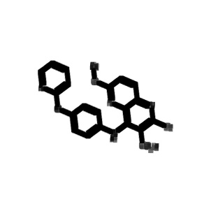 CCOc1ccc2nc(CC)c(C(=O)O)c(Nc3ccc(Oc4ccccn4)cc3)c2n1